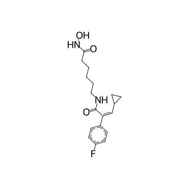 O=C(CCCCCNC(=O)C(=CC1CC1)c1ccc(F)cc1)NO